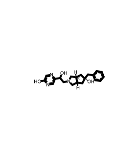 Oc1cnc(C(O)CN2C[C@@H]3C[C@@](O)(Cc4ccccc4)C[C@@H]3C2)cn1